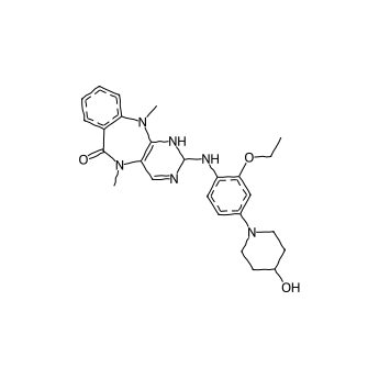 CCOc1cc(N2CCC(O)CC2)ccc1NC1N=CC2=C(N1)N(C)c1ccccc1C(=O)N2C